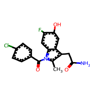 Cc1c(CC(N)=O)c2cc(O)c(F)cc2n1C(=O)c1ccc(Cl)cc1